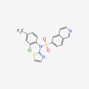 O=S(=O)(c1ccc2cnccc2c1)N(c1nccs1)c1ccc(C(F)(F)F)cc1Cl